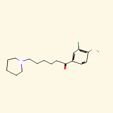 COc1ccc(C(=O)CCCCCN2CC[CH]CC2)cc1Br